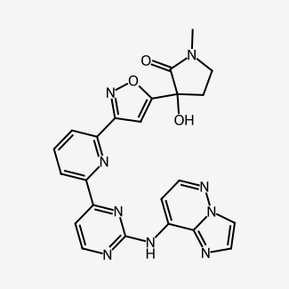 CN1CCC(O)(c2cc(-c3cccc(-c4ccnc(Nc5ccnn6ccnc56)n4)n3)no2)C1=O